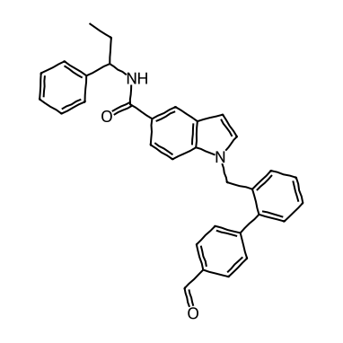 CCC(NC(=O)c1ccc2c(ccn2Cc2ccccc2-c2ccc(C=O)cc2)c1)c1ccccc1